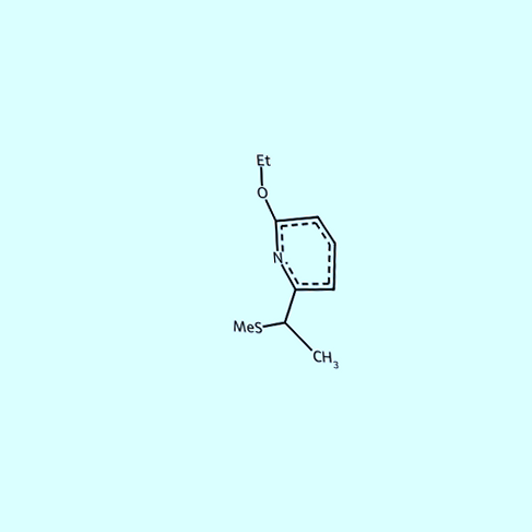 CCOc1cccc(C(C)SC)n1